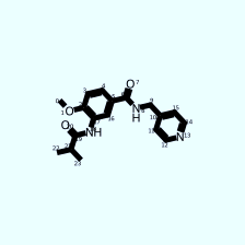 COc1ccc(C(=O)NCc2ccncc2)cc1NC(=O)C(C)C